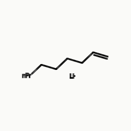 C=CCCCCCCC.[Li]